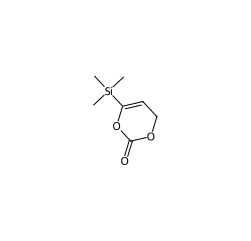 C[Si](C)(C)C1=CCOC(=O)O1